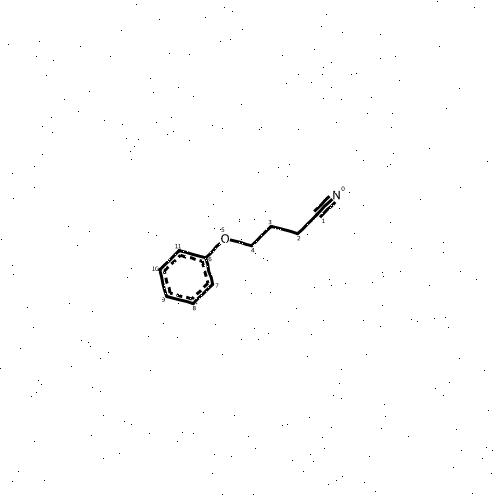 N#CCCCOc1c[c]ccc1